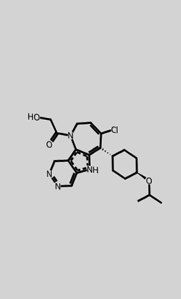 CC(C)O[C@H]1CC[C@H](C2=c3[nH]c4c(c3N(C(=O)CO)CC=C2Cl)CN=NC=4)CC1